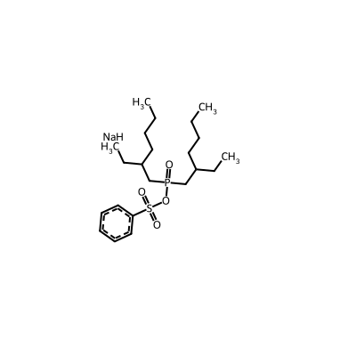 CCCCC(CC)CP(=O)(CC(CC)CCCC)OS(=O)(=O)c1ccccc1.[NaH]